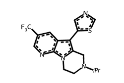 CC(C)N1CCn2c(c(-c3cncs3)c3cc(C(F)(F)F)cnc32)C1